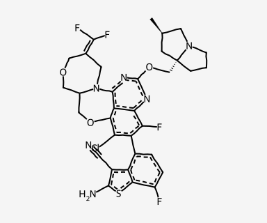 C[C@H]1CN2CCC[C@@]2(COc2nc3c4c(c(Cl)c(-c5ccc(F)c6sc(N)c(C#N)c56)c(F)c4n2)OCC2COCC(=C(F)F)CN32)C1